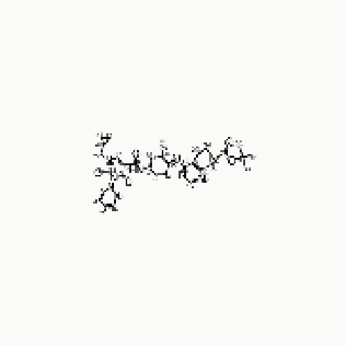 Cc1ccc(-n2c(=O)c(C(=O)Nc3ccc(Oc4ncnc5c4CCN(C(=O)OC(C)(C)C)C5)c(F)c3)cn(CC3CC3)c2=O)nc1